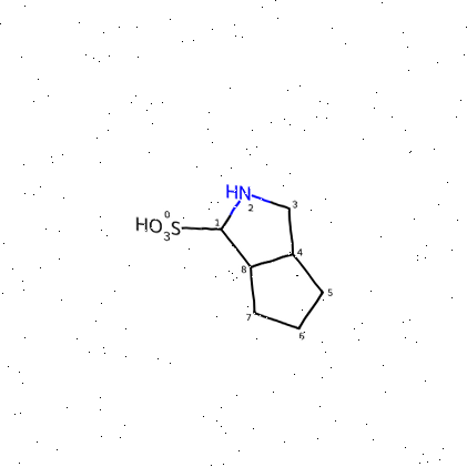 O=S(=O)(O)C1NCC2CCCC21